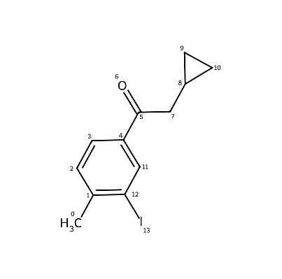 Cc1ccc(C(=O)CC2CC2)cc1I